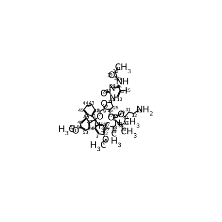 COc1ccc(C(OCC2OC(n3cc(I)c(NC4OC4C)nc3=O)CC2OP(OCCCN)N(C(C)C)C(C)C)(c2ccccc2)c2ccc(OC)cc2)cc1